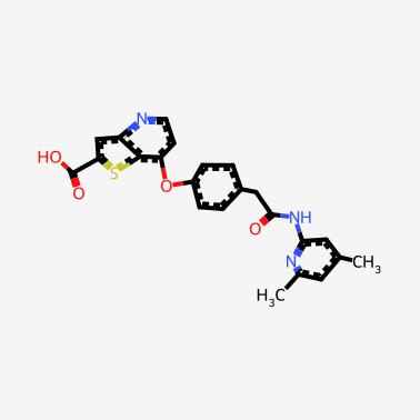 Cc1cc(C)nc(NC(=O)Cc2ccc(Oc3ccnc4cc(C(=O)O)sc34)cc2)c1